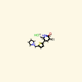 CCc1cc(-c2ccc(CN3CCCC3)s2)c(C)[nH]c1=O.Cl